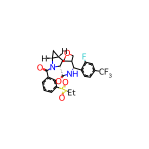 CCS(=O)(=O)c1cccc(C(=O)N2[C@@H](C(=O)N[C@@H](c3ccc(C(F)(F)F)cc3F)C3COC3)C[C@H]3C[C@H]32)c1